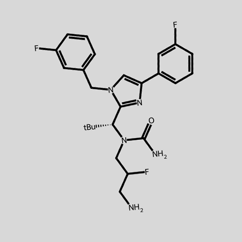 CC(C)(C)[C@H](c1nc(-c2cccc(F)c2)cn1Cc1cccc(F)c1)N(CC(F)CN)C(N)=O